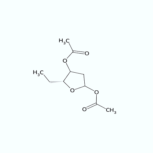 CC[C@H]1OC(OC(C)=O)CC1OC(C)=O